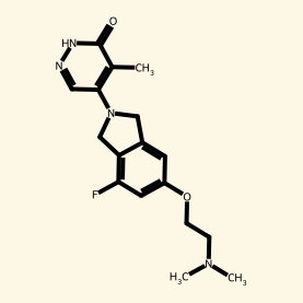 Cc1c(N2Cc3cc(OCCN(C)C)cc(F)c3C2)cn[nH]c1=O